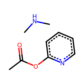 CC(=O)Oc1ccccn1.CNC